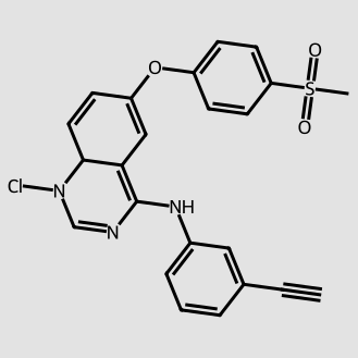 C#Cc1cccc(NC2=C3C=C(Oc4ccc(S(C)(=O)=O)cc4)C=CC3N(Cl)C=N2)c1